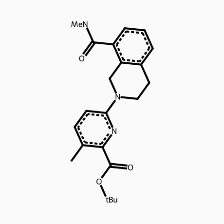 CNC(=O)c1cccc2c1CN(c1ccc(C)c(C(=O)OC(C)(C)C)n1)CC2